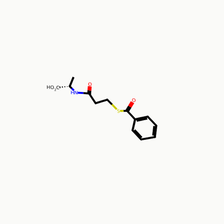 C[C@H](NC(=O)CCSC(=O)c1ccccc1)C(=O)O